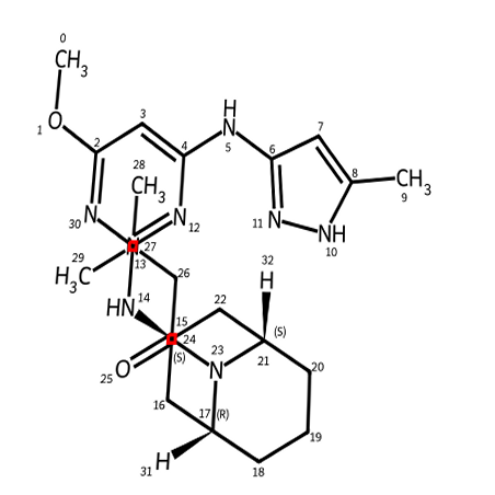 COc1cc(Nc2cc(C)[nH]n2)nc(N[C@@H]2C[C@H]3CCC[C@@H](C2)N3C(=O)CN(C)C)n1